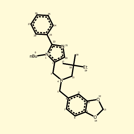 CCCCn1c(CN(Cc2ccc3c(c2)OCO3)CC(C)(C)CC)cnc1-c1ccccc1